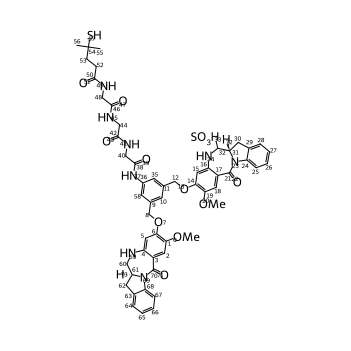 COc1cc2c(cc1OCc1cc(COc3cc4c(cc3OC)C(=O)N3c5ccccc5C[C@H]3C(S(=O)(=O)O)N4)cc(NC(=O)CNC(=O)CNC(=O)CNC(=O)CCC(C)(C)S)c1)NC[C@@H]1Cc3ccccc3N1C2=O